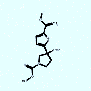 C=C(OCC)c1ccc(C2(OC)CCN(C(=O)OC(C)(C)C)C2)s1